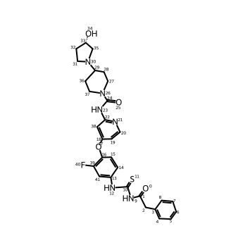 O=C(Cc1ccccc1)NC(=S)Nc1ccc(Oc2ccnc(NC(=O)N3CCC(N4CC[C@H](O)C4)CC3)c2)c(F)c1